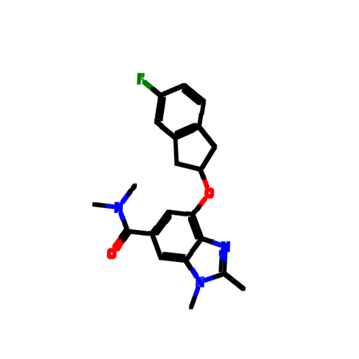 Cc1nc2c(OC3Cc4ccc(F)cc4C3)cc(C(=O)N(C)C)cc2n1C